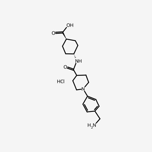 Cl.NCc1ccc(N2CCC(C(=O)N[C@H]3CC[C@H](C(=O)O)CC3)CC2)cc1